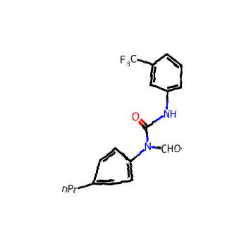 CCCc1ccc(N([C]=O)C(=O)Nc2cccc(C(F)(F)F)c2)cc1